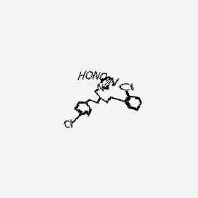 Clc1ccc(CCC(CCc2ccccc2Cl)Cn2ccnc2)cc1.O=[N+]([O-])O